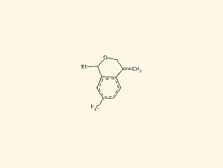 C=C1COC(CC)c2cc(C(F)(F)F)ccc21